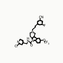 N#Cc1cc(F)cc(C=CCN2CCc3c(c4cc(OC(F)(F)F)ccc4n3C(=O)NCc3ccnc(Cl)c3)C2)c1